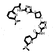 C=C(Cc1cccc(N(C)C)n1)Nc1nnc([C@H]2CC[C@H](c3nnc(NC(=O)Cc4cccc(N(C)C)n4)s3)C2)s1